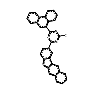 Clc1nc(-c2ccc3oc4cc5ccccc5cc4c3c2)nc(-c2cc3ccccc3c3ccccc23)n1